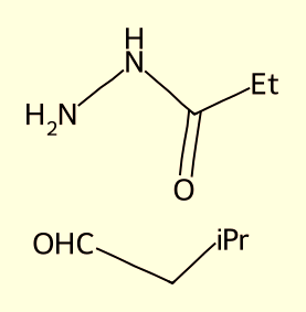 CC(C)CC=O.CCC(=O)NN